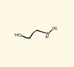 OCCNO